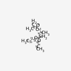 C=C(C)C(=O)OCC(C)C[SiH2]C(OCCCC)OCCCC